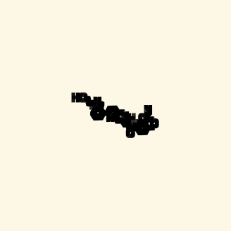 C[C@@]1(C#N)COCc2ccc(C(=O)NCc3cc4nc(C5=CC=CC6C5C=NN6CCO)ccc4cn3)cc21